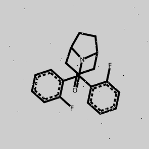 O=C1CC2CCC(C1)N2C(c1ccccc1F)c1ccccc1F